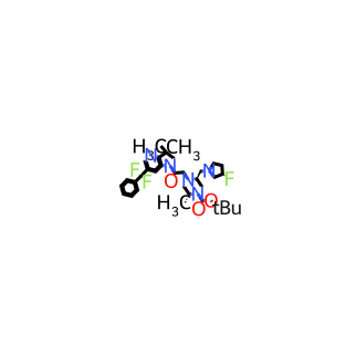 C[C@@H]1CN(CC(=O)N2CC(C)(C)c3ncc(C(F)(F)c4ccccc4)cc32)[C@@H](CN2CC[C@@H](F)C2)CN1C(=O)OC(C)(C)C